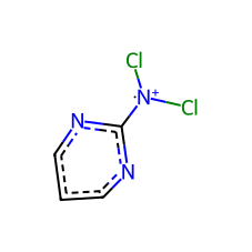 Cl[N+](Cl)c1ncccn1